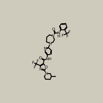 CC1CCCN(c2nc(C(F)(F)F)c(C(=O)Nc3ccc(N4CCCN(C(=O)Nc5ccccc5C(F)(F)F)CC4)nc3)o2)C1